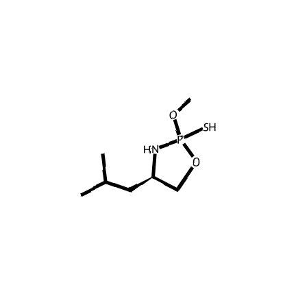 CO[P]1(S)N[C@H](CC(C)C)CO1